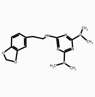 CN(C)c1nc(NCCc2ccc3c(c2)OCO3)nc(N(C)C)n1